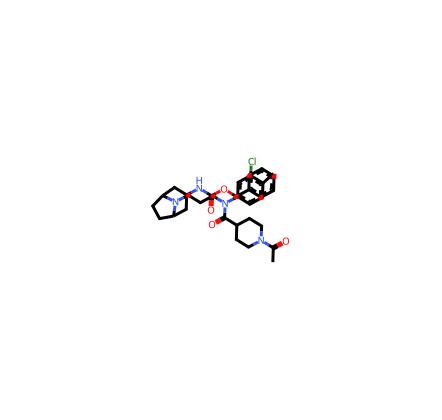 CC(=O)N1CCC(C(=O)N(CCCN2C3CCC2CC(NC(=O)OCc2ccccc2)C3)c2ccc(C)c(Cl)c2)CC1